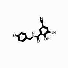 N#Cc1cc(O)c(O)c(C(=O)NCc2ccc(F)cc2)c1